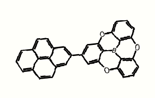 c1cc2c3c(c1)Oc1cc(-c4cc5ccc6cccc7ccc(c4)c5c67)cc4c1B3c1c(cccc1O4)O2